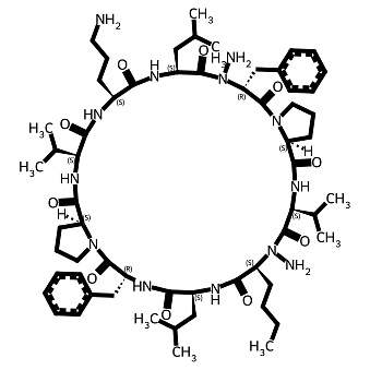 CCCC[C@H]1C(=O)N[C@@H](CC(C)C)C(=O)N[C@H](Cc2ccccc2)C(=O)N2CCC[C@H]2C(=O)N[C@@H](C(C)C)C(=O)N[C@@H](CCCN)C(=O)N[C@@H](CC(C)C)C(=O)N(N)[C@H](Cc2ccccc2)C(=O)N2CCC[C@H]2C(=O)N[C@@H](C(C)C)C(=O)N1N